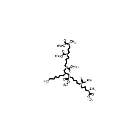 CN(CCCN(CCCCN(CC(CCCCCCO)CN(CCCCN(CCCN(C)C(=O)OC(C)(C)C)C(=O)OC(C)(C)C)C(=O)OC(C)(C)C)C(=O)OC(C)(C)C)C(=O)OC(C)(C)C)C(=O)OC(C)(C)C